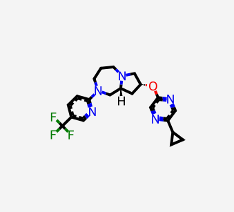 FC(F)(F)c1ccc(N2CCCN3C[C@H](Oc4cnc(C5CC5)cn4)C[C@@H]3C2)nc1